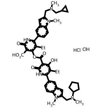 CCc1c(-c2ccc3c(c2)cc(CN(C)C2CCCC2)n3C)[nH]c(=O)c(C(=O)Oc2c(CC)c(-c3ccc4c(c3)cc(CN(C)CC3CC3)n4C)[nH]c(=O)c2C(=O)O)c1O.Cl.Cl